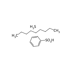 CCCCCCCCC.O=S(=O)(O)c1ccccc1.S